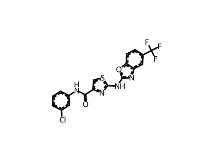 O=C(Nc1cccc(Cl)c1)c1csc(Nc2nc3cc(C(F)(F)F)ccc3o2)n1